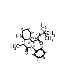 CCC(=O)N(c1ccccc1)[C@@H](C(=O)OC(C)(C)C)C1CCCNC1